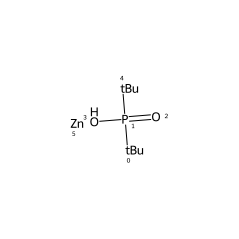 CC(C)(C)P(=O)(O)C(C)(C)C.[Zn]